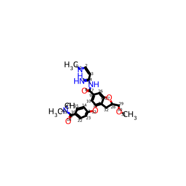 CN/C=C\C(=N)NC(=O)c1cc(Oc2ccc(C(=O)N(C)C)cc2)c2c(c1)OC(COC)C2